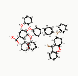 O=C([O-])c1cc(Oc2ccccc2)c(Oc2ccccc2)c(Oc2ccccc2)c1-c1ccccc1.S=c1c2ccccc2oc2ccc([S+](c3ccccc3)c3ccccc3)cc12